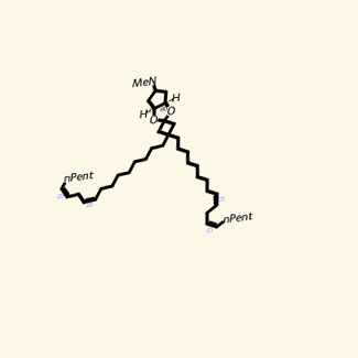 CCCCC/C=C\C/C=C\CCCCCCCCC1(CCCCCCCC/C=C\C/C=C\CCCCC)CC2(C1)O[C@H]1CC(NC)C[C@H]1O2